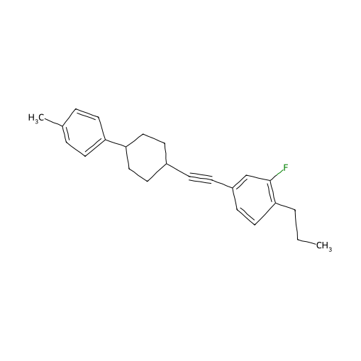 CCCc1ccc(C#CC2CCC(c3ccc(C)cc3)CC2)cc1F